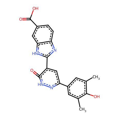 Cc1cc(-c2cc(-c3nc4ccc(C(=O)O)cc4[nH]3)c(=O)[nH]n2)cc(C)c1O